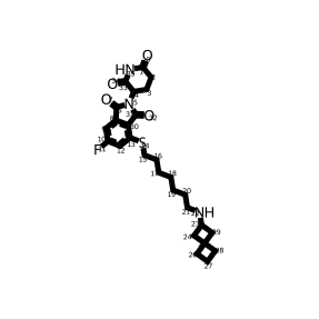 O=C1CCC(N2C(=O)c3cc(F)cc(SCCCCCCCNC4CC5(CCC5)C4)c3C2=O)C(=O)N1